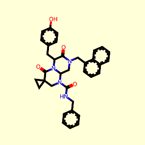 O=C1C(Cc2ccc(O)cc2)N2C(=O)C3(CC3)CN(C(=O)NCc3ccccc3)C2CN1Cc1cccc2ccccc12